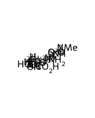 CNC(=O)CNC(=O)[C@@](C)(N)CN1CC(Oc2ccc3c(c2C(=O)O)O[B-](O)(O)[C@H]2C[C@@H]32)C1